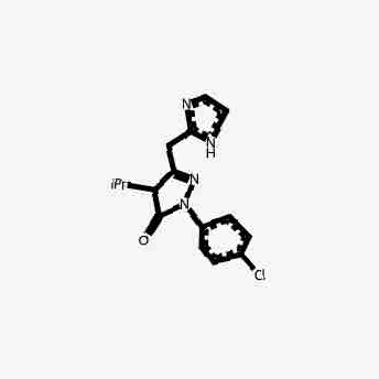 CC(C)C1C(=O)N(c2ccc(Cl)cc2)N=C1Cc1ncc[nH]1